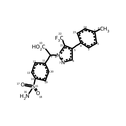 Cc1ccc(-c2cnn(C(C(=O)O)c3ccc(S(N)(=O)=O)cc3)c2C(F)(F)F)cc1